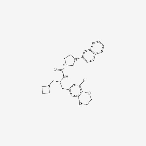 O=C(NC(Cc1cc(F)c2c(c1)OCCO2)CN1CCC1)[C@@H]1CCN(c2ccc3ccccc3c2)C1